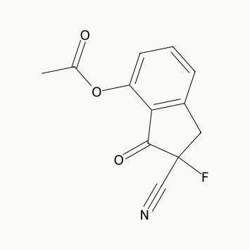 CC(=O)Oc1cccc2c1C(=O)C(F)(C#N)C2